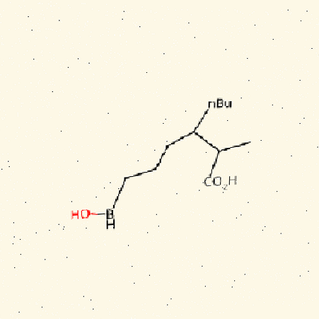 CCCCC(CCCBO)C(C)C(=O)O